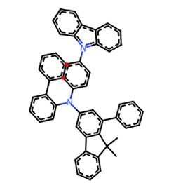 CC1(C)c2ccccc2-c2cc(N(c3ccc(-n4c5ccccc5c5ccccc54)cc3)c3ccccc3-c3ccccc3)cc(-c3ccccc3)c21